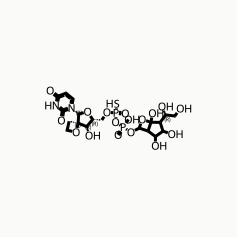 O=c1ccn([C@@H]2O[C@H](COP(=O)(S)OP(=O)(O)OC3OC4(O)C3C(O)C(O)C4[C@@H](O)CO)[C@@H](O)[C@]23CCO3)c(=O)[nH]1